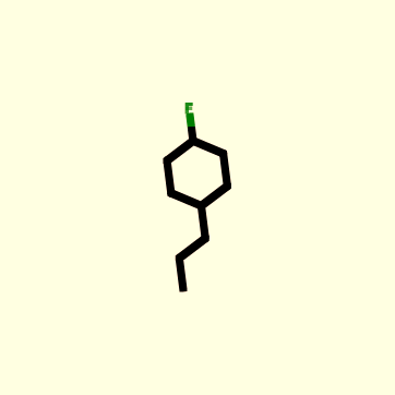 CCCC1CC[C](F)CC1